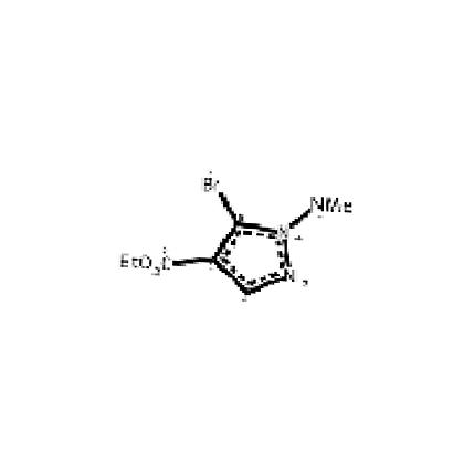 CCOC(=O)c1cnn(NC)c1Br